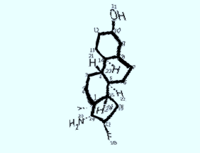 C[C@]12CC[C@H]3[C@@H](CC=C4C[C@H](O)CC[C@@H]43)[C@@H]1C[C@@H](F)[C@@H]2N